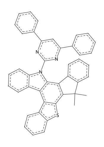 CC1(C)c2ccccc2-c2c1c1sc3ccccc3c1c1c3ccccc3n(-c3nc(-c4ccccc4)cc(-c4ccccc4)n3)c21